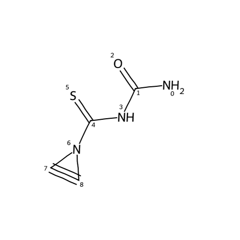 NC(=O)NC(=S)N1C#C1